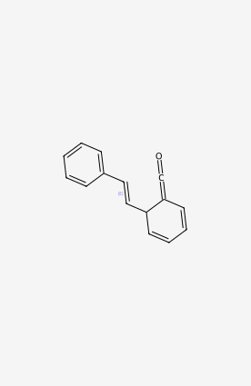 O=C=C1C=CC=CC1/C=C/c1ccccc1